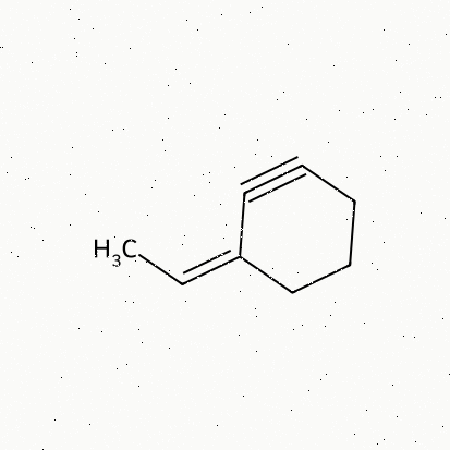 C/C=C1\C#CCCC1